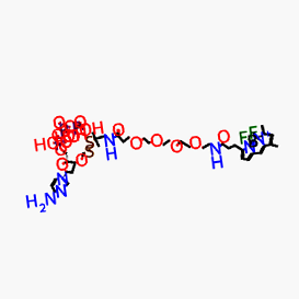 CC1=CC(C)=[N+]2C1=Cc1ccc(CCC(=O)NCCOCCOCCOCCOCCC(=O)NCC(C)(C)SSCOC3C[C@H](N4C=CC(N)=NC4)O[C@@H]3COP(=O)(O)OP(=O)(O)OP(=O)(O)O)n1[B-]2(F)F